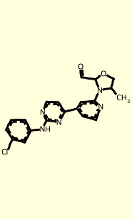 CC1COC(C=O)N1c1cc(-c2ccnc(Nc3cccc(Cl)c3)n2)ccn1